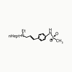 CCCCCCCN(CC)CC=Cc1ccc(NS(C)(=O)=O)cc1